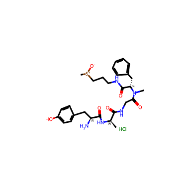 C[C@@H](NC(=O)[C@@H](N)Cc1ccc(O)cc1)C(=O)NCC(=O)N(C)[C@@H](Cc1ccccc1)C(=O)NCCC[S+](C)[O-].Cl